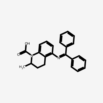 CC1CCc2c(N=C(c3ccccc3)c3ccccc3)cccc2N1C(=O)O